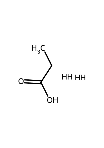 CCC(=O)O.[HH].[HH]